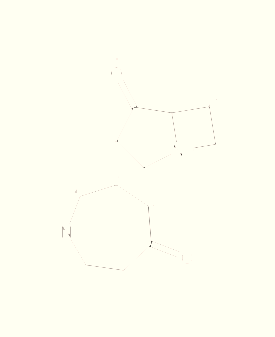 O=C1CCC[N]CC1.O=C1CC[N+]2CCC12